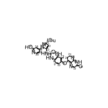 CC(C)(C)c1cc(NC(=O)Nc2ccc(OC3=c4ncc(=O)[nH]c4=NCC3)cc2P)n(-c2ccnc(O)c2)n1